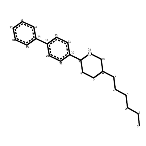 CCCCCCC1CCC(c2ccc(-c3ccccc3)cc2)OC1